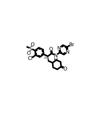 CS(=O)(=O)c1ccc([C@H](CC2CCC(=O)CC2)C(=O)Nc2cnc(Br)cn2)cc1Cl